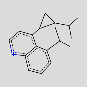 CC(C)c1cccc2nccc(C3CC3C(C)C)c12